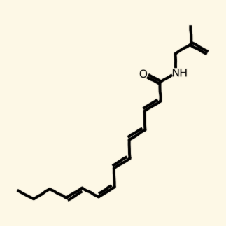 C=C(C)CNC(=O)/C=C/C=C/C=C/C=C\C=C\CCC